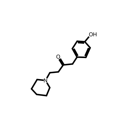 O=C(CCN1CCCCC1)Cc1ccc(O)cc1